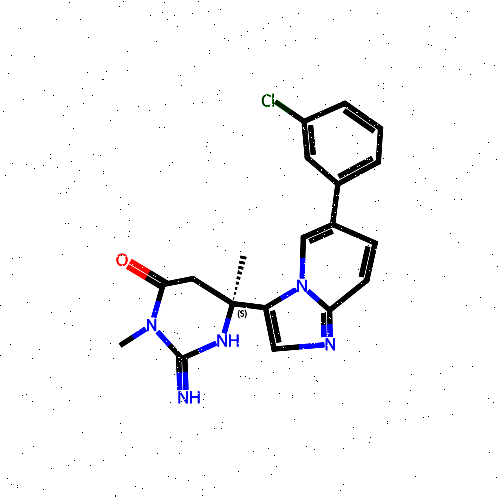 CN1C(=N)N[C@](C)(c2cnc3ccc(-c4cccc(Cl)c4)cn23)CC1=O